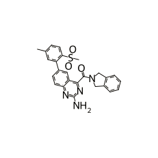 Cc1ccc(S(C)(=O)=O)c(-c2ccc3nc(N)nc(C(=O)N4Cc5ccccc5C4)c3c2)c1